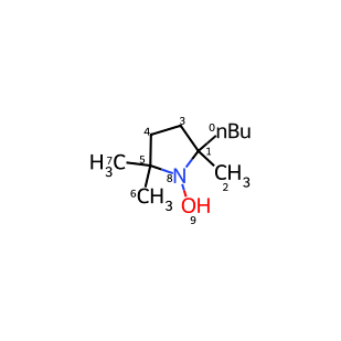 CCCCC1(C)CCC(C)(C)N1O